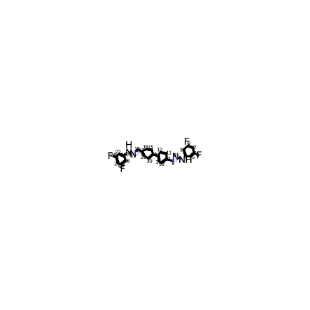 Fc1cc(F)cc(N/N=C/c2ccc(-c3ccc(/C=N/Nc4cc(F)cc(F)c4)cc3)cc2)c1